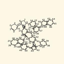 C1=CCCC(C2=CCC(c3ccccc3)N2c2ccc3c(-c4ccc5ccccc5c4)c4cc(-n5c(-c6ccccc6)ccc5-c5ccccc5)ccc4c(-c4ccc(-c5ccc6ccccc6c5)cc4)c3c2)=C1